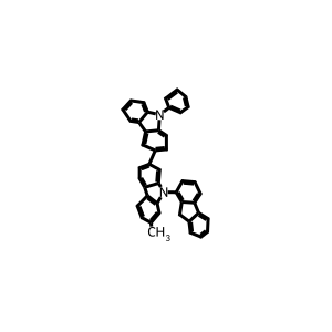 Cc1ccc2c3ccc(-c4ccc5c(c4)c4ccccc4n5-c4ccccc4)cc3n(-c3cccc4c3Cc3ccccc3-4)c2c1